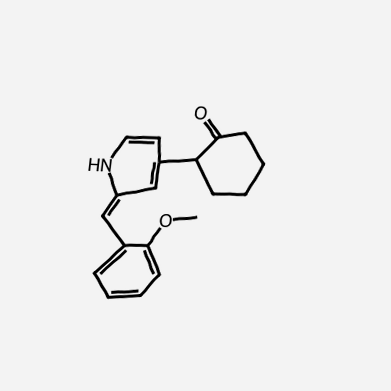 COc1ccccc1C=C1C=C(C2CCCCC2=O)C=CN1